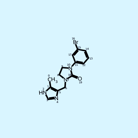 Cc1[nH]cnc1CN1CCN(c2cccc(Br)c2)C1=O